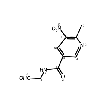 Cc1ncc(C(=O)NCC=O)cc1[N+](=O)[O-]